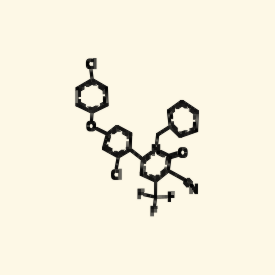 N#Cc1c(C(F)(F)F)cc(-c2ccc(Oc3ccc(Cl)cc3)cc2Cl)n(Cc2ccccc2)c1=O